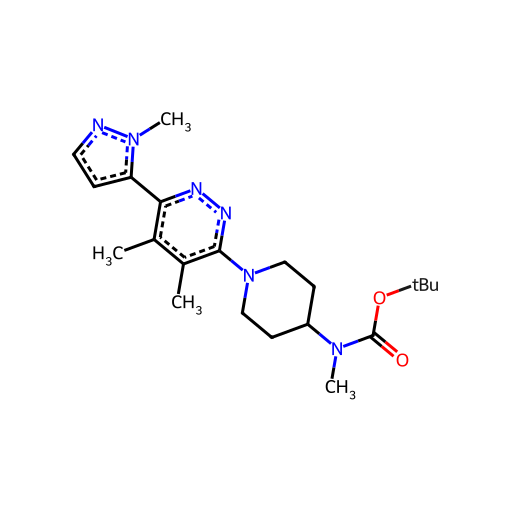 Cc1c(-c2ccnn2C)nnc(N2CCC(N(C)C(=O)OC(C)(C)C)CC2)c1C